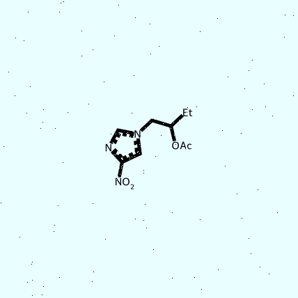 CCC(Cn1cnc([N+](=O)[O-])c1)OC(C)=O